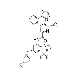 Cn1cnnc1-c1ccccc1-c1cc(C(=O)Nc2cc(CN3CCC4(CC4)C3)cc(C(F)(F)F)c2N)nc(C2CC2)c1